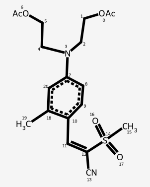 CC(=O)OCCN(CCOC(C)=O)c1ccc(C=C(C#N)S(C)(=O)=O)c(C)c1